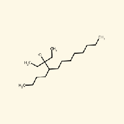 CCCCCCCCC(CCCC)C([O])(CC)CC